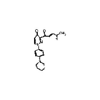 CNC=CC(=O)c1nn(-c2ccc(N3CCCCC3)cc2)ccc1=O